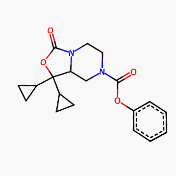 O=C(Oc1ccccc1)N1CCN2C(=O)OC(C3CC3)(C3CC3)C2C1